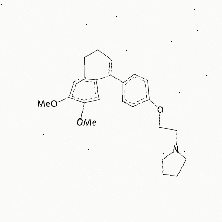 COc1cc2c(cc1OC)C(c1ccc(OCCN3CCCC3)cc1)=CCC2